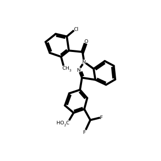 Cc1cccc(Cl)c1C(=O)n1nc(-c2ccc(C(=O)O)c(C(F)F)c2)c2ccccc21